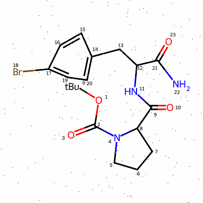 CC(C)(C)OC(=O)N1CCCC1C(=O)NC(Cc1ccc(Br)cc1)C(N)=O